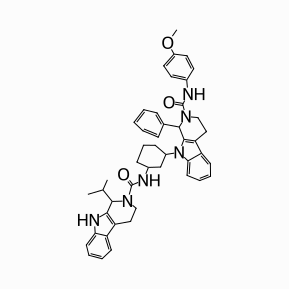 COc1ccc(NC(=O)N2CCc3c(n(C4CCCC(NC(=O)N5CCc6c([nH]c7ccccc67)C5C(C)C)C4)c4ccccc34)C2c2ccccc2)cc1